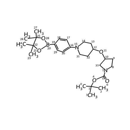 CC(C)(C)OC(=O)N1CCC(OC2CCN(c3ccc(B4OC(C)(C)C(C)(C)O4)cc3)CC2)C1